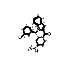 CC(C)NC1CCN(C(=O)c2cc3ccccc3n2Cc2cccc(Cl)c2)CC1